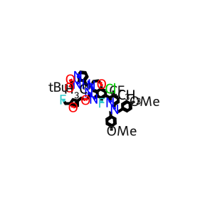 COc1ccc(CN(Cc2ccc(OC)cc2)c2cc(C)c(C(F)(F)F)c(-c3c(Cl)c4c5c(nc(OCC67COC(CF)(C6)C7)nc5c3F)N([C@H](C)c3cccnc3NC(=O)OC(C)(C)C)CCO4)n2)cc1